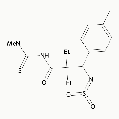 CCC(CC)(C(=O)NC(=S)NC)C(N=S(=O)=O)c1ccc(C)cc1